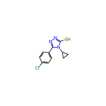 Sc1nnc(-c2ccc(Cl)cc2)n1C1CC1